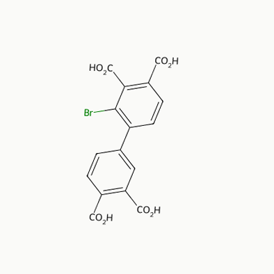 O=C(O)c1ccc(-c2ccc(C(=O)O)c(C(=O)O)c2Br)cc1C(=O)O